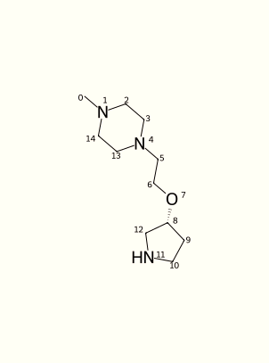 CN1CCN(CCO[C@@H]2CCNC2)CC1